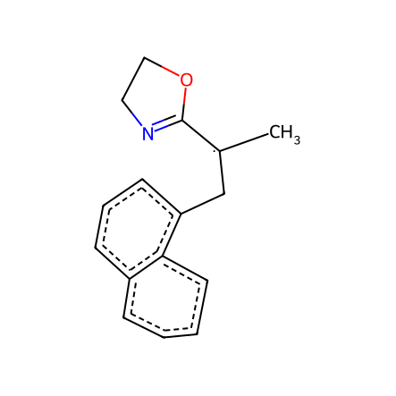 C[C](Cc1cccc2ccccc12)C1=NCCO1